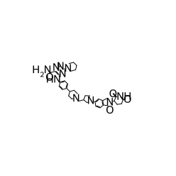 NC(=O)c1nnc(N2CCCCC2)nc1Nc1ccc(C2CCN(CC3CCN(c4ccc5c(c4)CN(C4CCC(=O)NC4=O)C5=O)C3)CC2)cc1